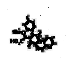 Cc1ccc(-c2c([C@H](OC(C)(C)C)C(=O)O)c(C)c3ncc4ncccc4c3c2C)cc1